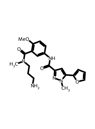 COc1ccc(NC(=O)c2cc(-c3ccco3)n(C)n2)cc1C(=O)N(C)CCCN